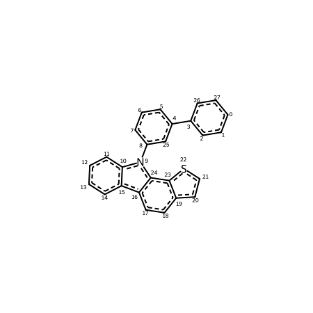 c1ccc(-c2cccc(-n3c4ccccc4c4ccc5ccsc5c43)c2)cc1